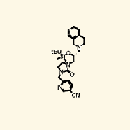 CC(C)(C)[Si](C)(C)O[C@H](CN1CCc2ccccc2C1)CN1CCN(Cc2ccc(C#N)cn2)C1=O